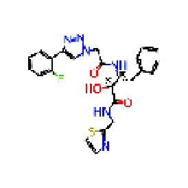 O=C(Cn1cc(-c2ccccc2F)nn1)N[C@H](Cc1ccccc1)[C@H](O)C(=O)NCc1nccs1